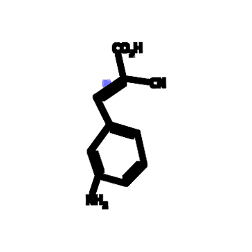 N#C/C(=C\c1cccc(N)c1)C(=O)O